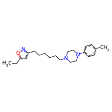 CCc1cc(CCCCCCN2CCN(c3ccc(C)cc3)CC2)no1